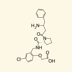 NC(CC(=O)N1CCC[C@@H]1C(=O)NCc1cc(Cl)ccc1OCC(=O)O)Cc1ccccc1